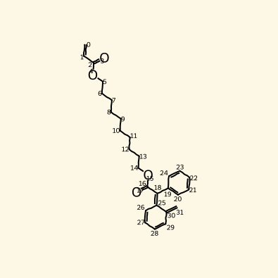 C=CC(=O)OCCCCCCCCCCOC(=O)/C(c1ccccc1)=c1\ccccc1=C